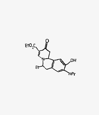 CCCc1cc2c(cc1O)C1CC(=O)C(C(=O)OCC)=CN1C(CC)C2